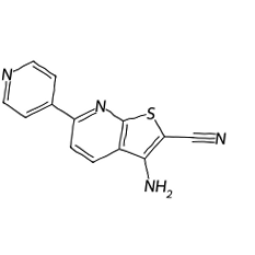 N#Cc1sc2nc(-c3ccncc3)ccc2c1N